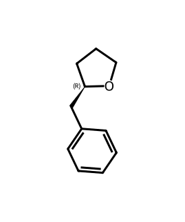 c1ccc(C[C@H]2CCCO2)cc1